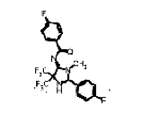 CN1C(=NC(=O)c2ccc(F)cc2)C(C(F)(F)F)(C(F)(F)F)NC1c1ccc(F)cc1